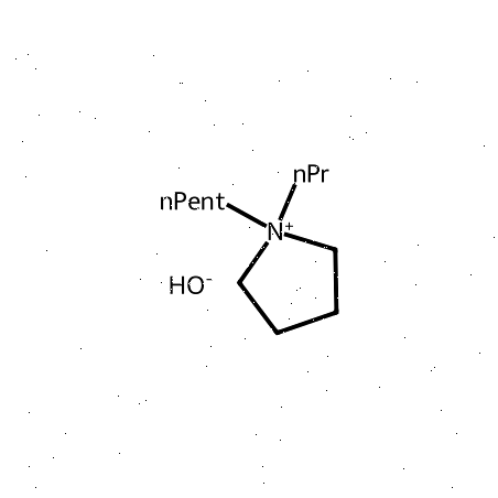 CCCCC[N+]1(CCC)CCCC1.[OH-]